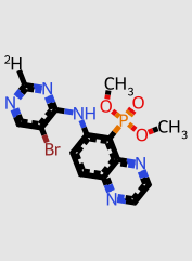 [2H]c1ncc(Br)c(Nc2ccc3nccnc3c2P(=O)(OC)OC)n1